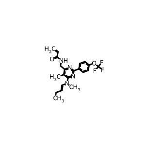 C=CC(=O)NCc1nc(-c2ccc(OC(F)(F)F)cc2)nc(N(C)/C=C/CC)c1C